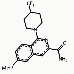 COc1ccc2c(N3CCC(C(F)(F)F)CC3)nc(C(N)=O)cc2c1